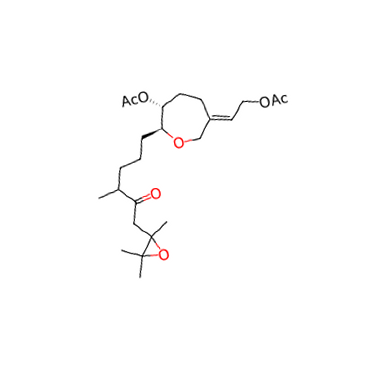 CC(=O)OC/C=C1\CC[C@@H](OC(C)=O)[C@H](CCCC(C)C(=O)CC2(C)OC2(C)C)OC1